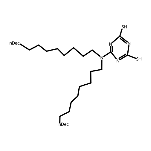 CCCCCCCCCCCCCCCCCCN(CCCCCCCCCCCCCCCCCC)c1nc(S)nc(S)n1